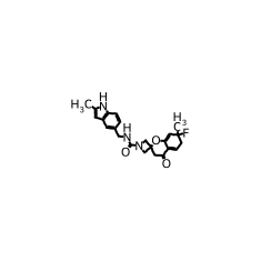 Cc1cc2cc(CNC(=O)N3CC4(CC(=O)C5=CCC(C)(F)C=C5O4)C3)ccc2[nH]1